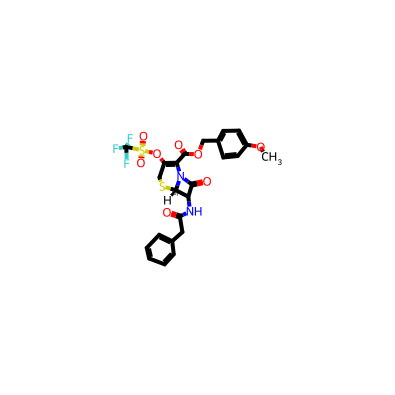 COc1ccc(COC(=O)C2=C(OS(=O)(=O)C(F)(F)F)CS[C@H]3C(NC(=O)Cc4ccccc4)C(=O)N23)cc1